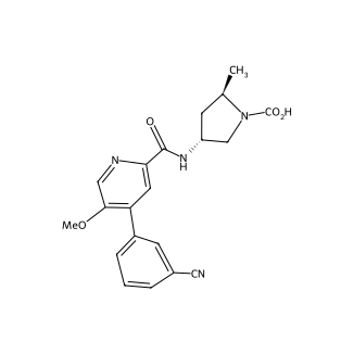 COc1cnc(C(=O)N[C@@H]2C[C@@H](C)N(C(=O)O)C2)cc1-c1cccc(C#N)c1